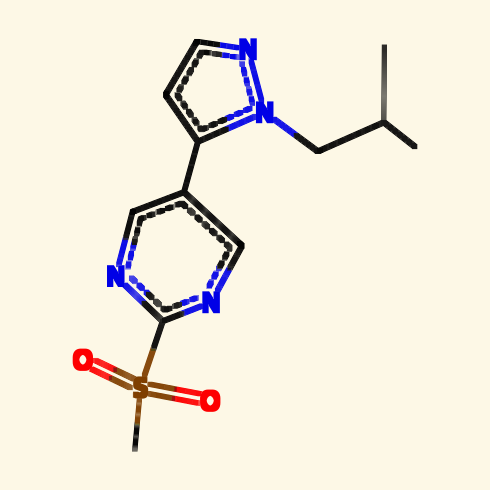 CC(C)Cn1nccc1-c1cnc(S(C)(=O)=O)nc1